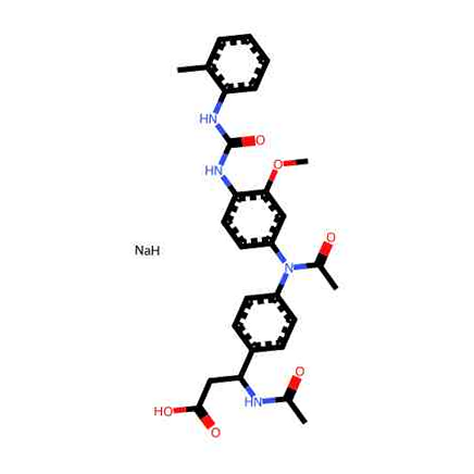 COc1cc(N(C(C)=O)c2ccc(C(CC(=O)O)NC(C)=O)cc2)ccc1NC(=O)Nc1ccccc1C.[NaH]